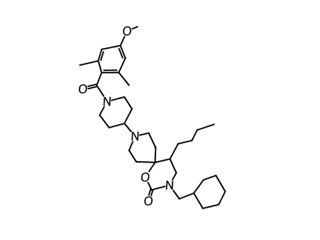 CCCCC1CN(CC2CCCCC2)C(=O)OC12CCN(C1CCN(C(=O)c3c(C)cc(OC)cc3C)CC1)CC2